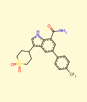 NC(=O)c1cc(-c2ccc(C(F)(F)F)cc2)cc2c(C3CCS(=O)(=O)CC3)c[nH]c12